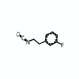 O=C=NCCc1cccc(F)c1